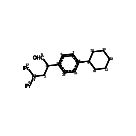 CC(C)N(CC(C=O)c1ccc(C2CCCCC2)cc1)C(C)C